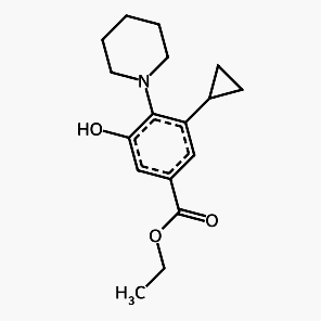 CCOC(=O)c1cc(O)c(N2CCCCC2)c(C2CC2)c1